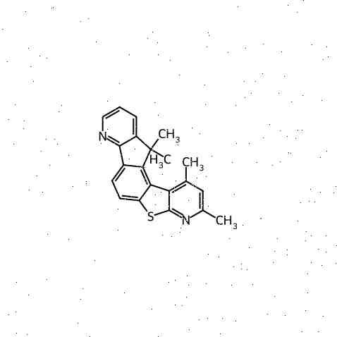 Cc1cc(C)c2c(n1)sc1ccc3c(c12)C(C)(C)c1cccnc1-3